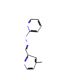 Cc1ccnc(C=NNc2ccccn2)c1